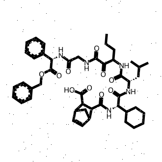 CCCC(NC(=O)[C@H](CC(C)C)NC(=O)[C@@H](NC(=O)C1C2C=CC(C2)C1C(=O)O)C1CCCCC1)C(=O)C(=O)NCC(=O)N[C@H](C(=O)OCc1ccccc1)c1ccccc1